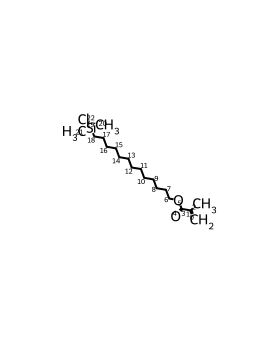 C=C(C)C(=O)OCCCCCCCCCCCCC[Si](C)(C)Cl